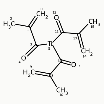 C=C(C)[C](=O)[Ti]([C](=O)C(=C)C)[C](=O)C(=C)C